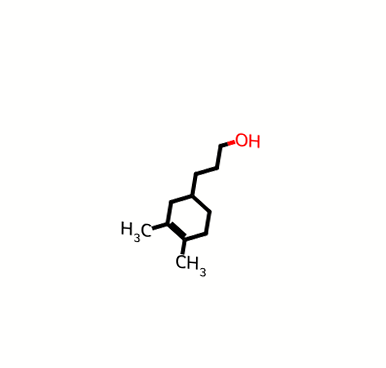 CC1=C(C)CC(CCCO)CC1